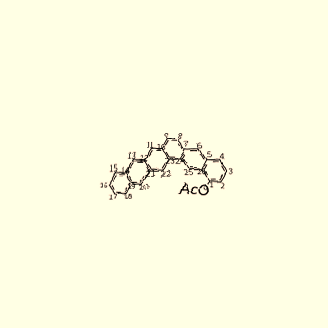 CC(=O)Oc1cccc2cc3ccc4cc5cc6ccccc6cc5cc4c3cc12